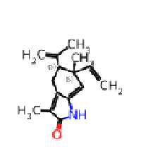 C=C[C@]1(C)C=C2NC(=O)C(C)=C2C[C@H]1C(=C)C